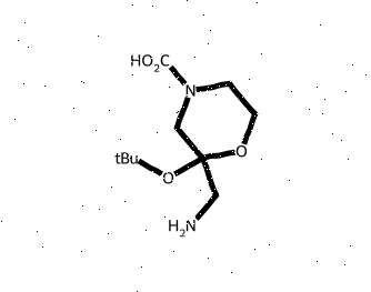 CC(C)(C)OC1(CN)CN(C(=O)O)CCO1